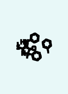 CSC1=N[C@@](C)(c2ccccc2)C(=O)N1Nc1ccccc1.Cc1ccccc1